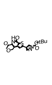 CC(C)(C)OC(=O)n1cc(-c2cc3c4c([nH]c(=O)c3s2)C(=O)COC4)cn1